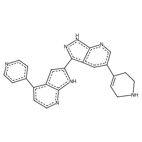 C1=C(c2cnc3[nH]nc(-c4cc5c(-c6ccncc6)ccnc5[nH]4)c3c2)CCNC1